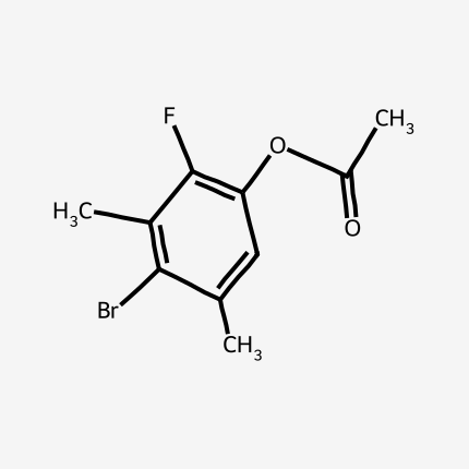 CC(=O)Oc1cc(C)c(Br)c(C)c1F